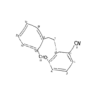 N#Cc1ccccc1Cc1ccccc1[C]=O